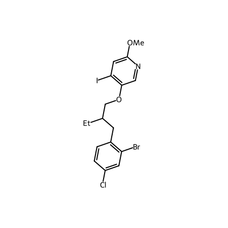 CCC(COc1cnc(OC)cc1I)Cc1ccc(Cl)cc1Br